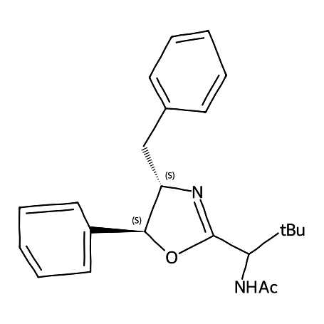 CC(=O)NC(C1=N[C@@H](Cc2ccccc2)[C@H](c2ccccc2)O1)C(C)(C)C